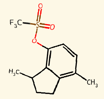 Cc1ccc(OS(=O)(=O)C(F)(F)F)c2c1CCC2C